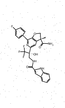 C[C@]1(C(N)=O)COc2c1cc([C@@](O)(CNC(=O)c1cc3ccccc3[nH]1)C(F)(F)F)nc2-c1ccc(F)cc1